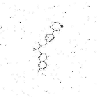 CN(Cc1ccc(C2CNCCO2)cc1)C(=O)C1=Cc2cc(F)ccc2OC1